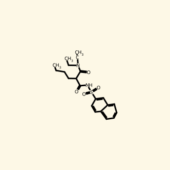 CCCCC(C(=O)NS(=O)(=O)c1ccc2ccccc2c1)C(=O)N(CC)CC